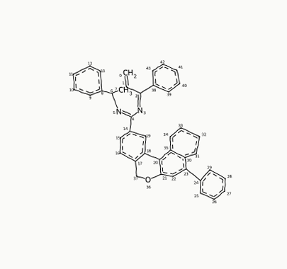 C=C/C(=N\C(=N/C(C)c1ccccc1)c1ccc2c(c1)-c1c(cc(-c3ccccc3)c3ccccc13)OC2)c1ccccc1